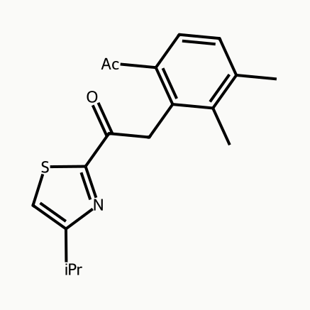 CC(=O)c1ccc(C)c(C)c1CC(=O)c1nc(C(C)C)cs1